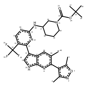 Cc1noc(C)c1-c1nc2[nH]cc(-c3nc(NC4CCCN(C(=O)OC(C)(C)C)C4)ncc3C(F)(F)F)c2cc1F